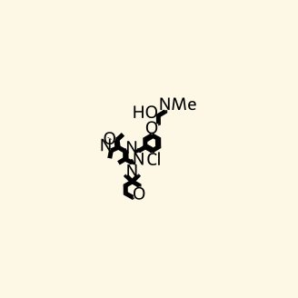 CNC[C@@H](O)COc1ccc(Cl)c(-c2nc(-c3c(C)noc3C)c(C)c(N3CC4(CCCOC4)C3)n2)c1